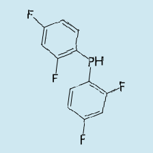 Fc1ccc(Pc2ccc(F)cc2F)c(F)c1